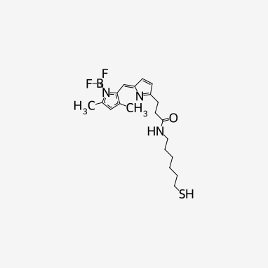 Cc1cc(C)n(B(F)F)c1/C=C1/C=CC(CCC(=O)NCCCCCCS)=N1